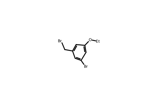 CCOc1cc(Br)cc(CBr)c1